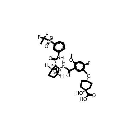 COc1cc(F)c(O[C@H]2CC[C@@](O)(C(=O)O)CC2)cc1C(=O)N[C@@H]1[C@@H]2CC[C@@H](C2)[C@@H]1C(=O)Nc1cccc(S(=O)(=O)C(C)(F)F)c1